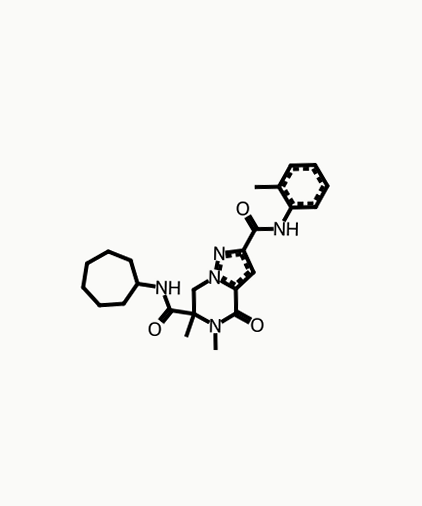 Cc1ccccc1NC(=O)c1cc2n(n1)CC(C)(C(=O)NC1CCCCCC1)N(C)C2=O